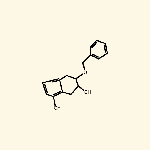 Oc1cccc2c1CC(O)C(OCc1ccccc1)C2